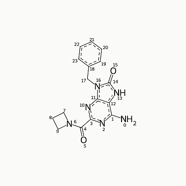 Nc1nc(C(=O)N2CCC2)nc2c1[nH]c(=O)n2Cc1ccccc1